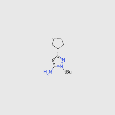 CC(C)(C)n1nc([C@@H]2C[CH]CC2)cc1N